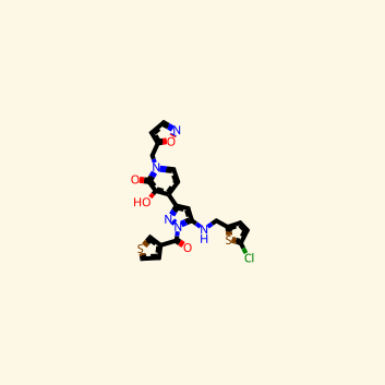 O=C(c1ccsc1)n1nc(-c2ccn(Cc3ccno3)c(=O)c2O)cc1NCc1ccc(Cl)s1